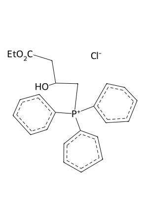 CCOC(=O)CC(O)C[P+](c1ccccc1)(c1ccccc1)c1ccccc1.[Cl-]